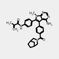 C=C(C)C(=O)Nc1ccc(-c2c(-c3ccc(C(=O)N4CC5CCC(C5)C4)cc3)c3c(N)ncnc3n2C)cc1